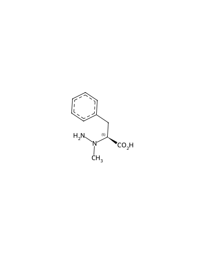 CN(N)[C@@H](Cc1ccccc1)C(=O)O